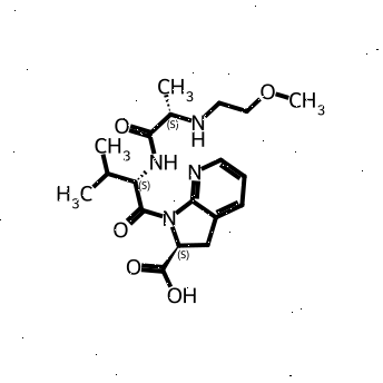 COCCN[C@@H](C)C(=O)N[C@H](C(=O)N1c2ncccc2C[C@H]1C(=O)O)C(C)C